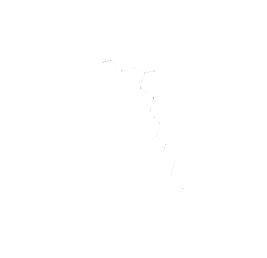 CCCCC(C)CCCCCCCCCCBr